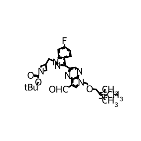 CC(C)(C)OC(=O)N1CC(Cn2nc(-c3cnc4c(n3)c(C=O)cn4COCC[Si](C)(C)C)c3ccc(F)cc32)C1